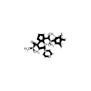 CC(c1cccc2c1OC(N1CCOCC1)=CC2C(=O)N(C)C)N(C)c1cc(F)c(F)c(F)c1